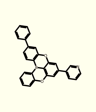 c1ccc(-c2ccc3c(c2)Oc2cc(-c4cccnc4)cc4c2B3c2ccccc2O4)cc1